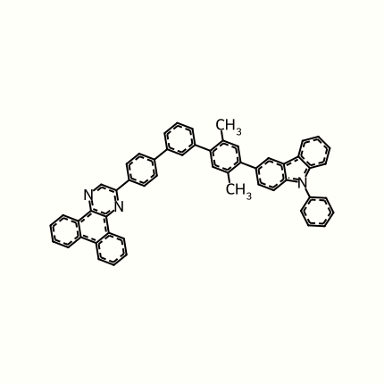 Cc1cc(-c2ccc3c(c2)c2ccccc2n3-c2ccccc2)c(C)cc1-c1cccc(-c2ccc(-c3cnc4c5ccccc5c5ccccc5c4n3)cc2)c1